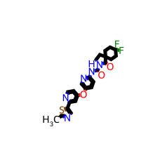 Cc1ncc(-c2cc(Oc3ccc(NC(=O)N4CCC5(CCC(F)(F)CC5)C4=O)nc3)ccn2)s1